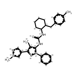 Cc1ccc(CC2CCCCC2NC(=O)Nc2c(C)c(-c3cnn(C)c3)nn2-c2ccccc2)cc1